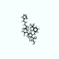 CCNC(=O)C(=O)[C@H](Cc1cccc(C(F)(F)F)c1)NC(=O)[C@@H](NC(=O)CCCCC1CCSS1)C(C)C